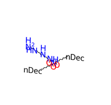 CCCCCCCCCCCCCCCCCC(=O)N(C(=O)CCCCCCCCCCCCCCCCC)C(C)C(=O)NCCCNCCCCNCCCN